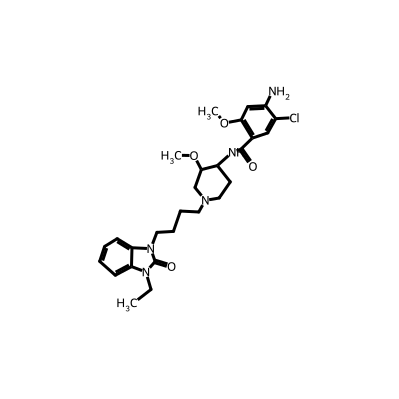 CCn1c(=O)n(CCCCN2CCC(NC(=O)c3cc(Cl)c(N)cc3OC)C(OC)C2)c2ccccc21